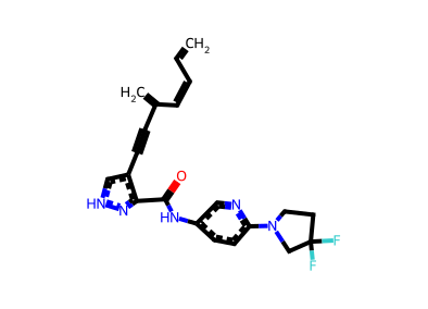 C=C/C=C\C(=C)C#Cc1c[nH]nc1C(=O)Nc1ccc(N2CCC(F)(F)C2)nc1